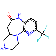 O=C1CC2CNCCN2c2nc(C(F)(F)F)ccc2N1